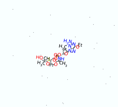 CCOc1nc(N)nc2c1ncn2[C@@H]1O[C@H](CO[P@](=O)(N[C@@H](C)C(=O)OC(C)C)OCCSC(=O)C(C)(C)CO)C[C@@H]1C